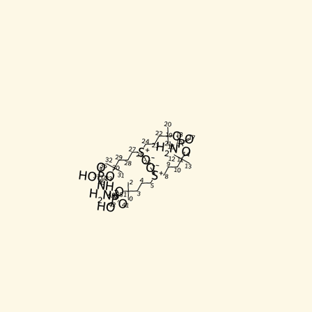 CC(C)(CCC[S+]([O-])CCCC(C)(C)OP(N)(=O)OC(C)(C)CCC[S+]([O-])CCCC(C)(C)OP(N)(=O)O)OP(N)(=O)O